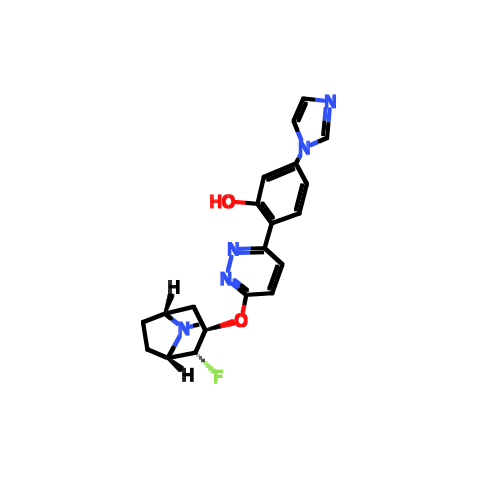 CN1[C@@H]2CC[C@H]1[C@@H](F)[C@H](Oc1ccc(-c3ccc(-n4ccnc4)cc3O)nn1)C2